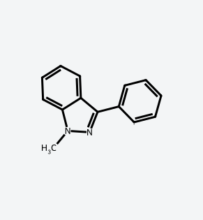 Cn1nc(-c2[c]cccc2)c2ccccc21